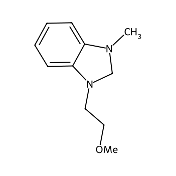 COCCN1CN(C)c2ccccc21